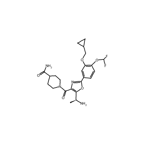 C[C@H](N)c1oc(-c2ccc(OC(F)F)c(OCC3CC3)c2)nc1C(=O)N1CCC(C(N)=O)CC1